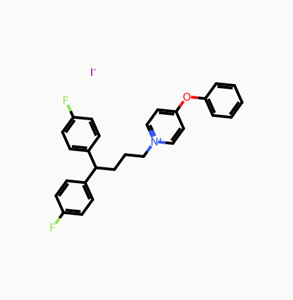 Fc1ccc(C(CCC[n+]2ccc(Oc3ccccc3)cc2)c2ccc(F)cc2)cc1.[I-]